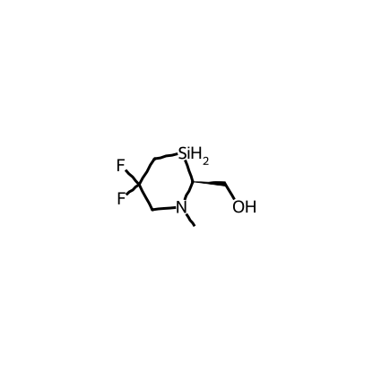 CN1CC(F)(F)C[SiH2][C@H]1CO